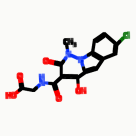 Cn1c(=O)c(C(=O)NCC(=O)O)c(O)c2cc3cc(Cl)ccc3n21